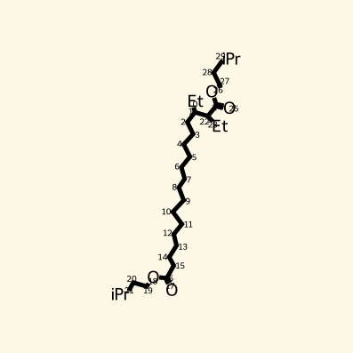 CCC(CCCCCCCCCCCCCCC(=O)OCCC(C)C)C(CC)C(=O)OCCC(C)C